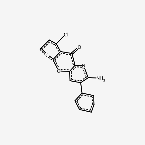 Nc1nc2c(=O)c3c(Cl)cccc3oc2cc1-c1ccccc1